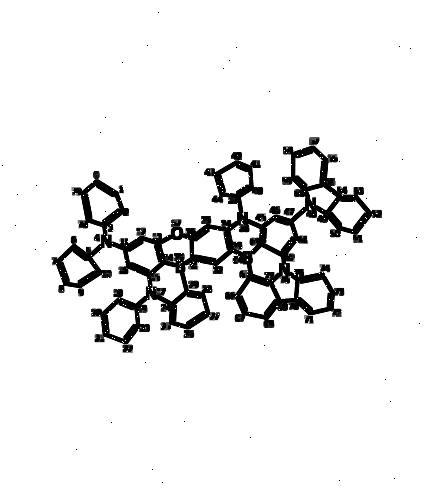 c1ccc(N(c2ccccc2)c2cc3c4c(c2)N(c2ccccc2)c2ccccc2B4c2cc4c(cc2O3)N(c2ccccc2)c2cc(-n3c5ccccc5c5ccccc53)cc3c2B4c2cccc4c5ccccc5n-3c24)cc1